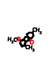 COc1ccc(C)c2c1CC1(CCC(C)CC1)C2=O